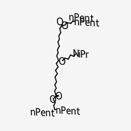 CCCCCC(CCCCC)CCOC(=O)CCCCCCCCCC(CCCCCCCCCC(=O)OCCC(CCCCC)CCCCC)OCCCCN(C)C(C)C